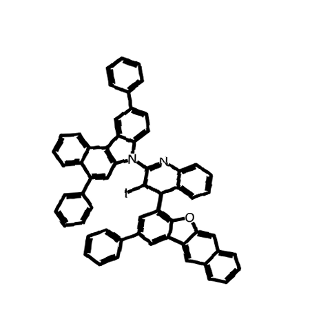 IC1C(n2c3ccc(-c4ccccc4)cc3c3c4ccccc4c(-c4ccccc4)cc32)=Nc2ccccc2C1c1cc(-c2ccccc2)cc2c1oc1cc3ccccc3cc12